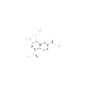 O=C(O)c1ccc2c([N+](=O)[O-])cc3c(c2c1)C(CCl)CN3